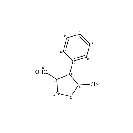 O=CC1SSC(Cl)C1c1ccccc1